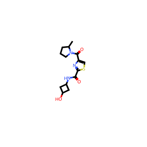 CC1CCCN1C(=O)c1csc(C(=O)NC2CC(O)C2)n1